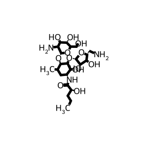 CCC[C@H](O)C(=O)N[C@@H]1CC(C)[C@@H](O[C@H]2OC(CO)[C@@H](O)C(O)C2N)C(O[C@@H]2O[C@H](CN)C(O)[C@@H]2O)C1O